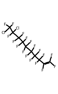 FC(F)=C(F)C(F)(F)C(F)(F)C(F)(F)C(F)(F)C(F)(F)C(F)(F)C(F)(Cl)C(F)(F)Cl